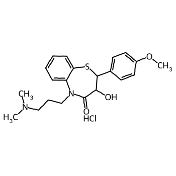 COc1ccc(C2Sc3ccccc3N(CCCN(C)C)C(=O)C2O)cc1.Cl